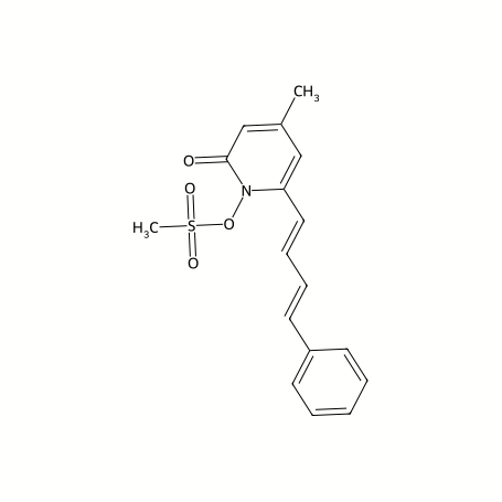 Cc1cc(C=CC=Cc2ccccc2)n(OS(C)(=O)=O)c(=O)c1